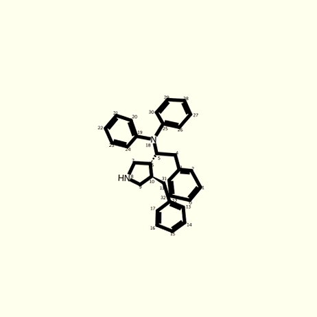 c1ccc(CC([C@H]2CNC[C@@H]2Cc2ccccc2)N(c2ccccc2)c2ccccc2)cc1